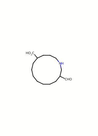 O=CC1CCCCCCCC(C(=O)O)CCCNC1